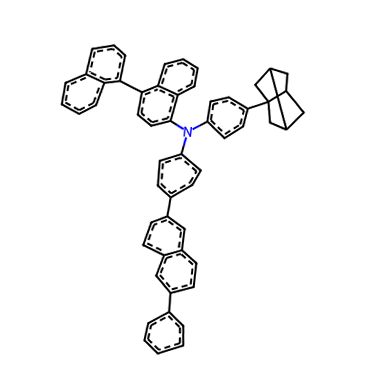 c1ccc(-c2ccc3cc(-c4ccc(N(c5ccc(C67CC8CC6CC8C7)cc5)c5ccc(-c6cccc7ccccc67)c6ccccc56)cc4)ccc3c2)cc1